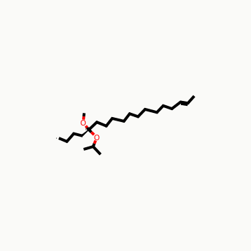 [CH2]CCC[C@](CCCCCCCCCCC=CC)(OC)OC(C)C